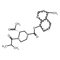 CC(=O)[C@@H]1CN(C(=O)Oc2cccc3c(C)ncnc23)CCN1C(=O)C(C)C